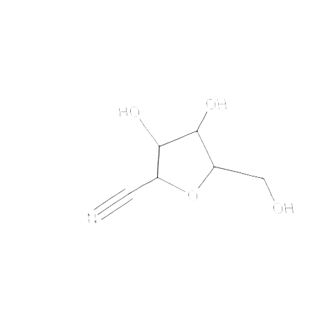 N#CC1OC(CO)C(O)C1O